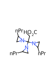 CCCC1CN1C(CC(=O)O)(N1CC1CCC)N1CC1CCC